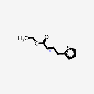 CCOC(=O)/C=C/Cc1cccs1